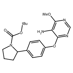 COc1ncnc(Oc2ccc(C3CCCN3C(=O)OC(C)(C)C)cc2)c1N